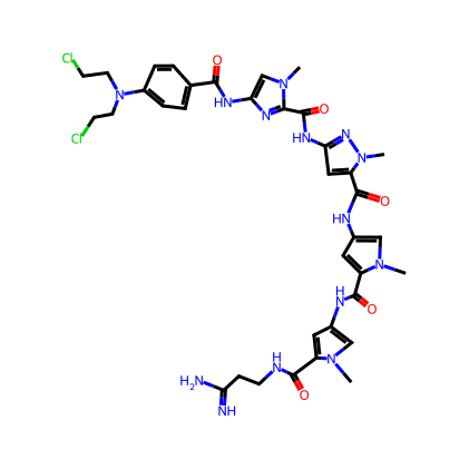 Cn1cc(NC(=O)c2cc(NC(=O)c3cc(NC(=O)c4nc(NC(=O)c5ccc(N(CCCl)CCCl)cc5)cn4C)nn3C)cn2C)cc1C(=O)NCCC(=N)N